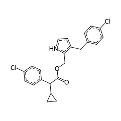 O=C(OCc1[nH]ccc1Cc1ccc(Cl)cc1)C(c1ccc(Cl)cc1)C1CC1